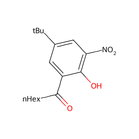 CCCCCCC(=O)c1cc(C(C)(C)C)cc([N+](=O)[O-])c1O